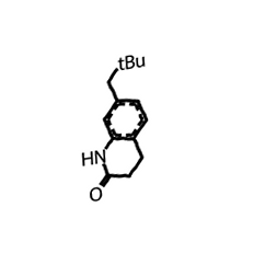 CC(C)(C)Cc1ccc2c(c1)NC(=O)CC2